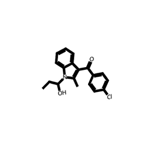 CCC(O)n1c(C)c(C(=O)c2ccc(Cl)cc2)c2ccccc21